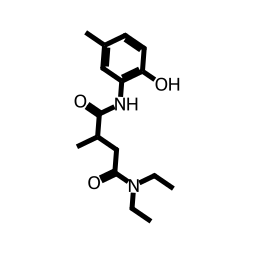 CCN(CC)C(=O)CC(C)C(=O)Nc1cc(C)ccc1O